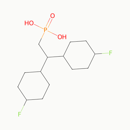 O=P(O)(O)CC(C1CCC(F)CC1)C1CCC(F)CC1